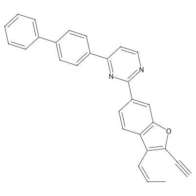 C#Cc1oc2cc(-c3nccc(-c4ccc(-c5ccccc5)cc4)n3)ccc2c1/C=C\C